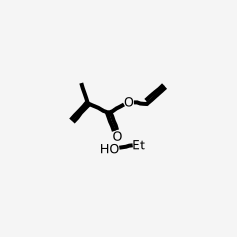 C=COC(=O)C(=C)C.CCO